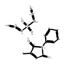 CC1=CC(=O)N(c2ccccc2)C1=O.[N-]=[N+]=NS(=O)(=O)N=[N+]=[N-]